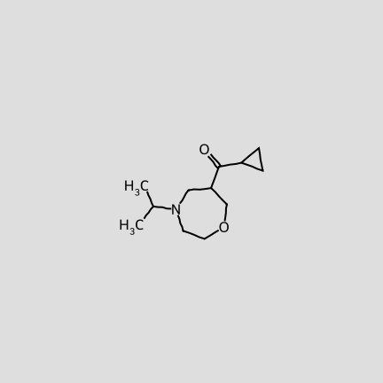 CC(C)N1CCOCC(C(=O)C2CC2)C1